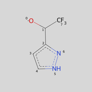 [O]C(c1cc[nH]n1)C(F)(F)F